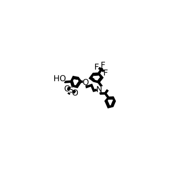 CC(CN(CCCOc1ccc(CO)c(S(C)(=O)=O)c1)Cc1cccc(C(F)(F)F)c1)c1ccccc1